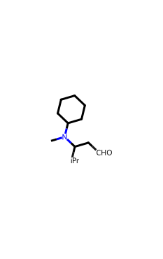 CC(C)C(CC=O)N(C)C1CCCCC1